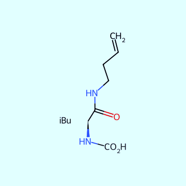 C=CCCNC(=O)[C@@H](NC(=O)O)[C@H](C)CC